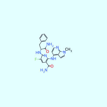 Cn1ccc2c(Nc3nc(NC(Cc4ccccc4)C(N)=O)c(F)cc3C(N)=O)ccnc21